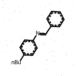 CCCCc1ccc(N=Cc2ccccc2)cc1